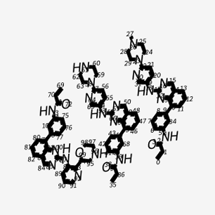 C=CC(=O)Nc1cccc(-c2cccc3cnc(Nc4ccc(N5CCN(C)CC5)nc4)nc23)c1.C=CC(=O)Nc1cccc(-c2cccc3cnc(Nc4ccc(N5CCNCC5)nc4)nc23)c1.C=CC(=O)Nc1cccc(-c2cccc3cnc(Nc4cccnc4C4CNCCO4)nc23)c1